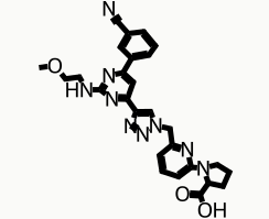 COCCNc1nc(-c2cccc(C#N)c2)cc(-c2cn(Cc3cccc(N4CCCC4C(=O)O)n3)nn2)n1